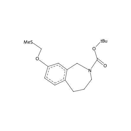 CSCOc1ccc2c(c1)CN(C(=O)OC(C)(C)C)CCC2